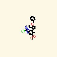 C=C([C@@H]1CCC[C@@H]1OCc1ccccc1)n1/c(=N\C)c(Cl)nc2cc(C(=O)OC)c(C)cc21